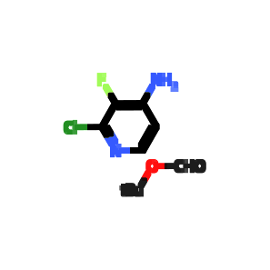 CC(C)(C)OC=O.Nc1ccnc(Cl)c1F